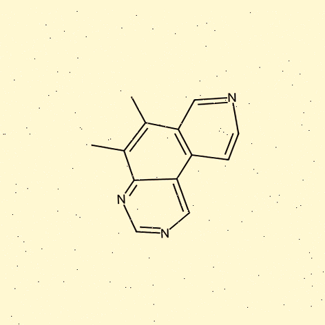 Cc1c(C)c2ncncc2c2ccncc12